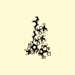 C/C=C(\C)CCN(CCCN(C[C@H]1C[C@@H](n2cc(Br)c3c(Cl)ncnc32)[C@@H]2OC(C)(C)O[C@H]12)C(=O)OC(C)(C)C)C(=O)OC(C)(C)C